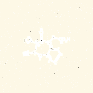 CC(C)(C)C1Oc2ccccc2N(CC(=O)O)C(=O)[C@H]1N